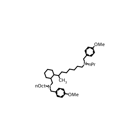 CCCCCCCCN(Cc1ccc(OC)cc1)CC1CCCCC1C(C)CCCCCCN(CCC)Cc1ccc(OC)cc1